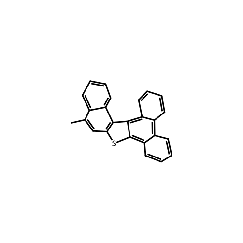 Cc1cc2sc3c4ccccc4c4ccccc4c3c2c2ccccc12